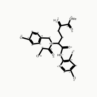 C=C(CCC(C(=O)Nc1ncc(Cl)cc1F)N(Cc1ccc(Cl)cc1)C(=O)CCl)C(=O)OC